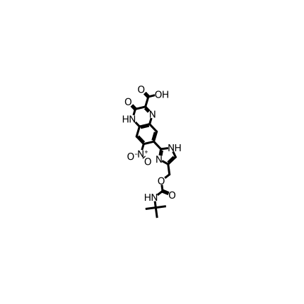 CC(C)(C)NC(=O)OCc1c[nH]c(-c2cc3nc(C(=O)O)c(=O)[nH]c3cc2[N+](=O)[O-])n1